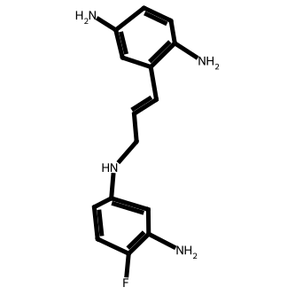 Nc1ccc(N)c(C=CCNc2ccc(F)c(N)c2)c1